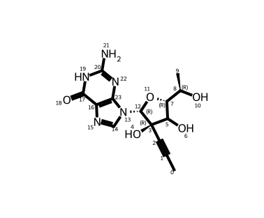 CC#C[C@@]1(O)C(O)[C@@H]([C@@H](C)O)O[C@H]1n1cnc2c(=O)[nH]c(N)nc21